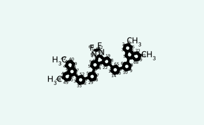 Cc1ccc2cc(-c3cccc(-c4cccc(-c5ccc6c(c5)c5cc(-c7cccc(-c8cccc(-c9cc%10ccc(C)cc%10c%10cc(C)ccc9%10)c8)c7)ccc5c5nc(F)c(F)nc65)c4)c3)c3ccc(C)cc3c2c1